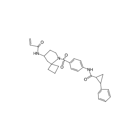 C=CC(=O)NC1CCN(S(=O)(=O)c2ccc(NC(=O)C3CC3c3ccccc3)cc2)C2(CCC2)C1